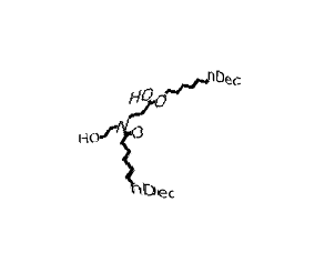 CCCCCCCCCCCCCCCCOC(O)CCN(CCO)C(=O)CCCCCCCCCCCCCCC